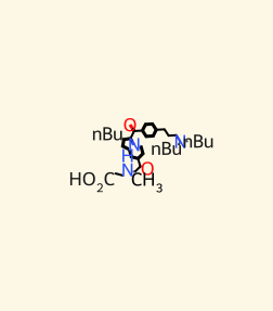 CCCCc1cc2cc(C(=O)C(C)NCCC(=O)O)ccn2c1C(=O)c1ccc(CCCN(CCCC)CCCC)cc1